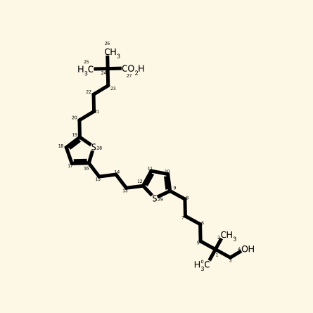 CC(C)(CO)CCCCc1ccc(CCCc2ccc(CCCCC(C)(C)C(=O)O)s2)s1